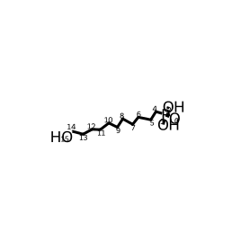 O=P(O)(O)CCCCCCCCCCCO